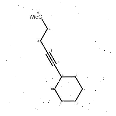 COCCC#CC1CC[CH]CC1